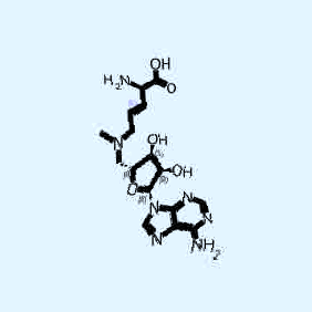 CN(C/C=C/C(N)C(=O)O)C[C@H]1O[C@@H](n2cnc3c(N)ncnc32)[C@H](O)[C@@H]1O